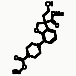 COC(=O)C1(CCC#N)COc2c(N3CCN(C(=O)OC(C)(C)C)CC3)cccc21